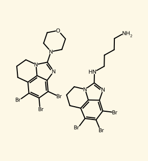 Brc1c(Br)c2c3c(nc(N4CCOCC4)n3CCC2)c1Br.NCCCCNc1nc2c(Br)c(Br)c(Br)c3c2n1CCC3